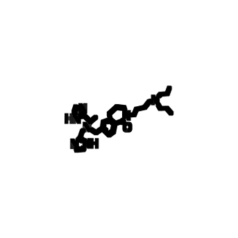 CCCN(CCC)CCCCN1C=CCc2cc(CN(Cc3ncc[nH]3)C(C)c3ncc[nH]3)ccc2C1=O